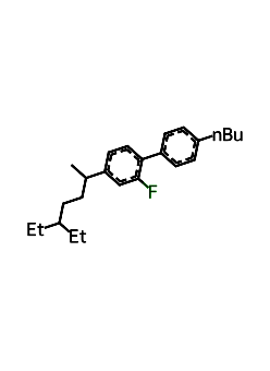 CCCCc1ccc(-c2ccc(C(C)CCC(CC)CC)cc2F)cc1